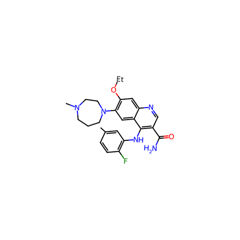 CCOc1cc2ncc(C(N)=O)c(Nc3cc(C)ccc3F)c2cc1N1CCCN(C)CC1